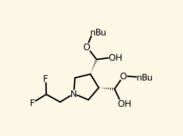 CCCCOC(O)[C@H]1CN(CC(F)F)C[C@H]1C(O)OCCCC